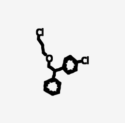 ClCCCOCC(c1ccccc1)c1ccc(Cl)cc1